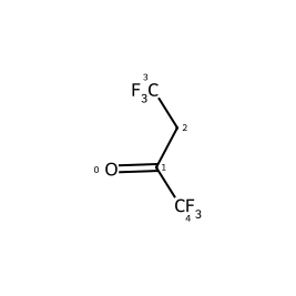 O=C(CC(F)(F)F)C(F)(F)F